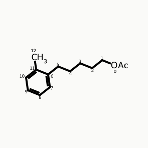 CC(=O)OCCCCCc1ccccc1C